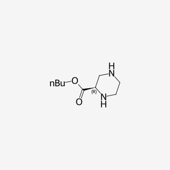 CCCCOC(=O)[C@H]1CNCCN1